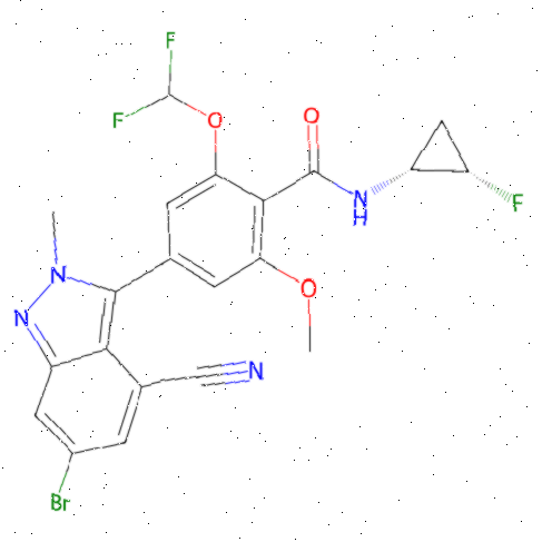 COc1cc(-c2c3c(C#N)cc(Br)cc3nn2C)cc(OC(F)F)c1C(=O)N[C@@H]1C[C@@H]1F